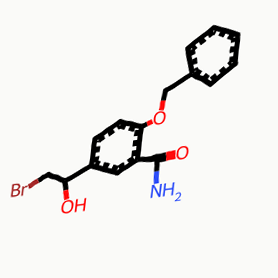 NC(=O)c1cc(C(O)CBr)ccc1OCc1ccccc1